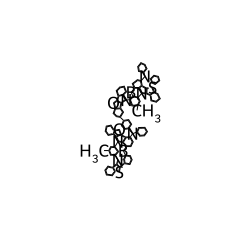 Cc1cc2c3c(c1)-n1c4c(cccc4c4sc5ccccc5c41)B3c1ccc(N(c3ccccc3)c3ccc(-c4ccc5oc6c7cccc8c7n(c6c5c4)-c4cc(C)cc5c4B8c4ccc(N(c6ccccc6)c6ccccc6)c6c7sc8ccccc8c7n-5c46)cc3)c3c4oc5ccccc5c4n-2c13